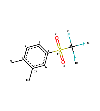 Cc1ccc(S(=O)(=O)C(F)(F)F)cc1C